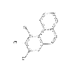 Clc1[c]c2ccc3c[c]ccc3c2c(Cl)c1Cl